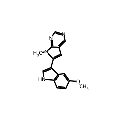 COc1ccc2[nH]cc(-c3cc4cncnc4n3C)c2c1